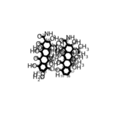 CN(C)[C@@H]1C(O)=C(C(N)=O)C(=O)[C@@]2(O)C(O)=C3C(=O)c4c(O)ccc(Cl)c4[C@@](C)(O)[C@H]3C[C@@H]12.CN(C)[C@@H]1C(O)=C(C(N)=O)C(=O)[C@@]2(O)C(O)=C3C(=O)c4c(O)cccc4[C@@](C)(O)[C@H]3[C@H](O)[C@@H]12.O.O